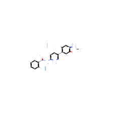 Cc1cc2n[c]([Y])oc2cc1-c1ccc(NC(=O)c2ccccc2Cl)nc1